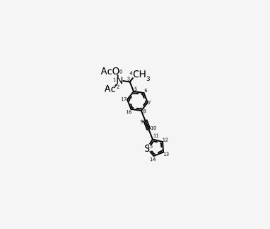 CC(=O)ON(C(C)=O)C(C)c1ccc(C#Cc2cccs2)cc1